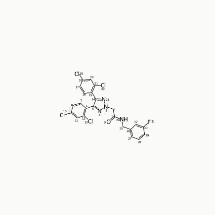 O=C(Cn1nc(-c2ccc(Cl)cc2Cl)c(-c2ccc(Cl)cc2Cl)n1)NCc1cccc(F)c1